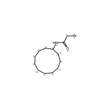 O=C(CBr)NC1CCCCCCCCCC1